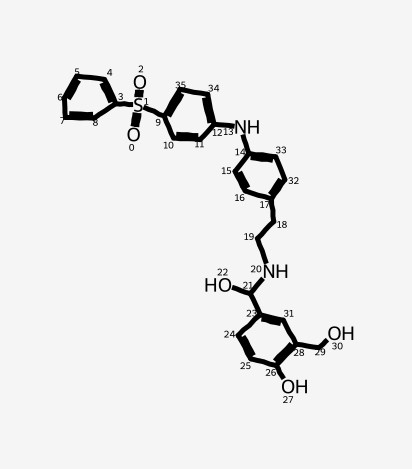 O=S(=O)(c1ccccc1)c1ccc(Nc2ccc(CCNC(O)c3ccc(O)c(CO)c3)cc2)cc1